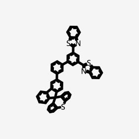 c1cc(-c2cc(-c3nc4ccccc4s3)cc(-c3nc4ccccc4s3)c2)cc(-c2ccc3c(c2)-c2ccccc2C32c3ccccc3Sc3ccccc32)c1